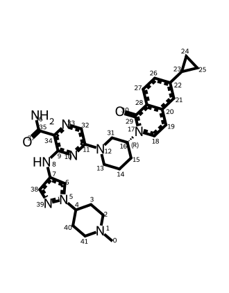 CN1CCC(n2cc(Nc3nc(N4CCC[C@@H](n5ccc6cc(C7CC7)ccc6c5=O)C4)cnc3C(N)=O)cn2)CC1